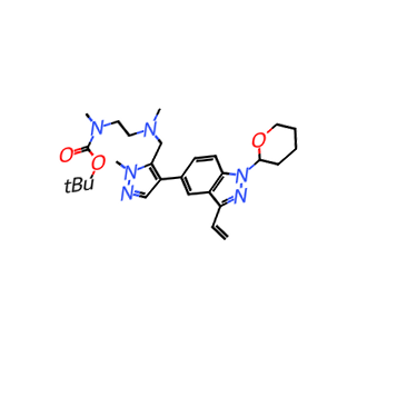 C=Cc1nn(C2CCCCO2)c2ccc(-c3cnn(C)c3CN(C)CCN(C)C(=O)OC(C)(C)C)cc12